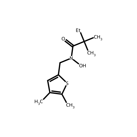 CCC(C)(C)C(=O)N(O)Cc1cc(C)c(C)s1